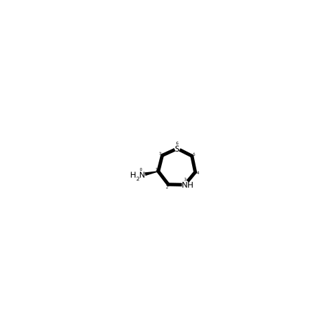 N[C@@H]1CNCCSC1